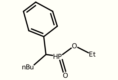 CCCCC(c1ccccc1)[PH](=O)OCC